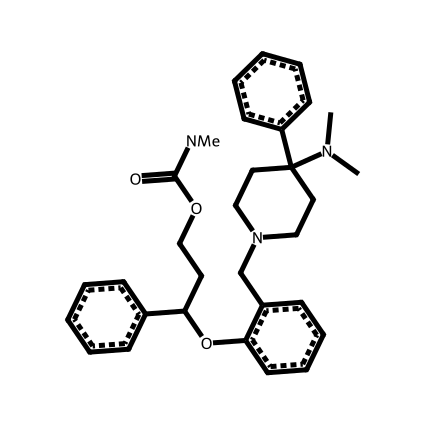 CNC(=O)OCCC(Oc1ccccc1CN1CCC(c2ccccc2)(N(C)C)CC1)c1ccccc1